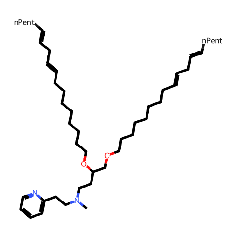 CCCCCC=CCC=CCCCCCCCCOCC(CCN(C)CCc1ccccn1)OCCCCCCCCC=CCC=CCCCCC